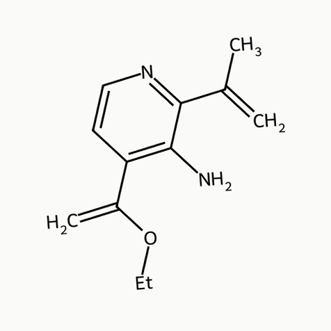 C=C(OCC)c1ccnc(C(=C)C)c1N